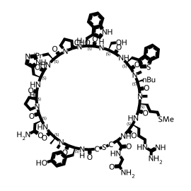 CCCC[C@H]1C(=O)N(C)[C@@H](CCCSC)C(=O)N[C@@H](CCCNC(=N)N)C(=O)NC(C(=O)NCC(N)=O)CSCC(=O)N[C@@H](Cc2ccc(O)cc2)C(=O)N(C)[C@@H](C)C(=O)N[C@@H](CC(N)=O)C(=O)N2CCC[C@H]2C(=O)N[C@@H](Cc2cnc[nH]2)C(=O)N[C@@H](CC(C)C)C(=O)N2CCCC2(C=O)N[C@@H](Cc2c[nH]c3ccccc23)C(=O)N[C@@H](CO)C(=O)N[C@@H](Cc2csc3ccccc23)C(=O)N1C